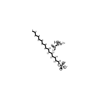 Br.CCCCCCCCCCCCCCCCOP(=O)([O-])[O-].CN(C)C.[Ca+2]